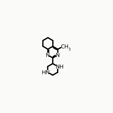 Cc1nc(C2CNCCN2)nc2c1CCCC2